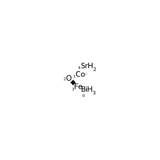 [BiH3].[Co].[O]=[Fe].[SrH2]